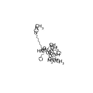 CC(C)CC(NC(=O)[C@H](CCc1ccccc1)NC(=O)CCCCCCCCCN1CCN(C)CC1)C(=O)N[C@@H](Cc1ccccc1)C(=O)NC(CC(C)C)C(=O)C1(C)CO1